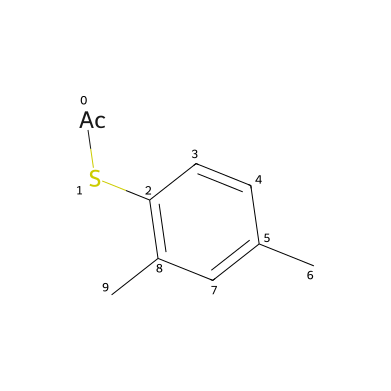 CC(=O)Sc1ccc(C)cc1C